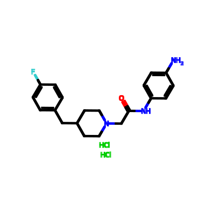 Cl.Cl.Nc1ccc(NC(=O)CN2CCC(Cc3ccc(F)cc3)CC2)cc1